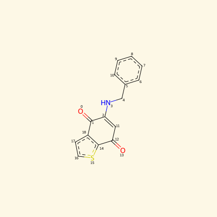 O=C1C(NCc2ccccc2)=CC(=O)c2sccc21